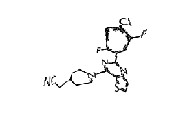 N#CCC1CCN(c2nc(-c3cc(F)c(Cl)cc3F)nc3ccsc23)CC1